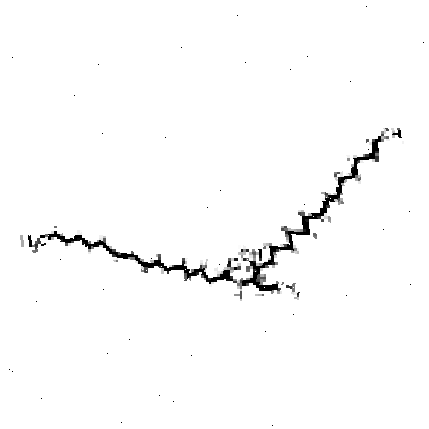 CCCCCCCCCCCCCCCC(=O)NC(CC)C(O)CCCCCCCCCCCCCCC